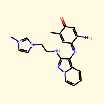 CC1=C/C(=N\c2c(NCCn3cc[n+](C)c3)nn3ccccc23)C(N)=CC1=O